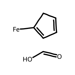 O=CO.[Fe][C]1=CC=CC1